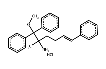 COC(c1ccccc1)(c1ccccc1)C(C)(N)CCC=Cc1ccccc1.Cl